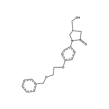 O=C1CC(CO)CN1c1ccc(OCCOCc2ccccc2)cc1